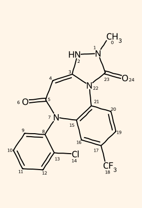 CN1NC2=CC(=O)N(c3ccccc3Cl)c3cc(C(F)(F)F)ccc3N2C1=O